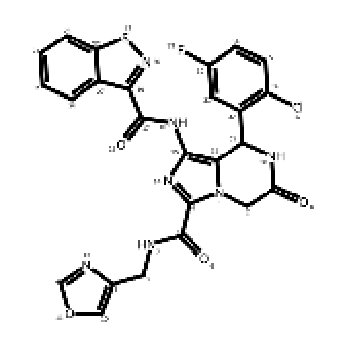 O=C1Cn2c(C(=O)NCc3cocn3)nc(NC(=O)c3nsc4ccccc34)c2C(c2cc(F)ccc2Cl)N1